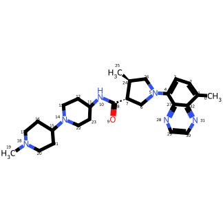 Cc1ccc(N2C[C@H](C(=O)NC3CCN(C4CCN(C)CC4)CC3)[C@@H](C)C2)c2nccnc12